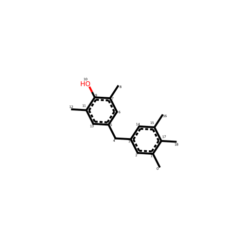 Cc1cc(Cc2cc(C)c(O)c(C)c2)cc(C)c1C